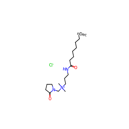 CCCCCCCCCCCCCCCCC(=O)NCCC[N+](C)(C)CN1CCCC1=O.[Cl-]